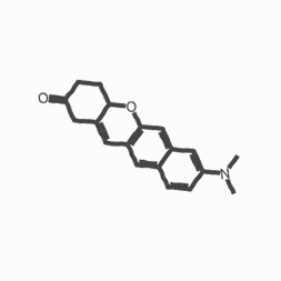 CN(C)c1ccc2cc3c(cc2c1)OC1CCC(=O)CC1=C3